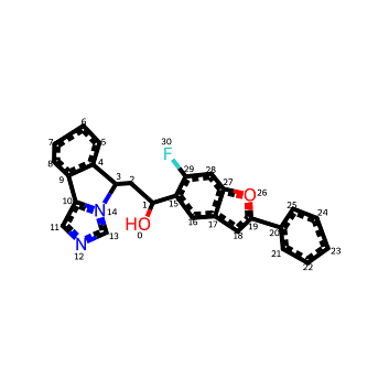 OC(CC1c2ccccc2-c2cncn21)c1cc2cc(-c3ccccc3)oc2cc1F